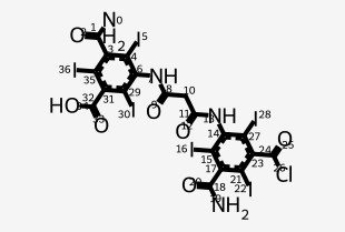 NC(=O)c1c(I)c(NC(=O)CC(=O)Nc2c(I)c(C(N)=O)c(I)c(C(=O)Cl)c2I)c(I)c(C(=O)O)c1I